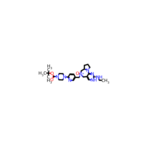 CCN[C@@H]1N=C2C(=CN1)C[N+]([O-])(Cc1ccc(N3CCN(C(=O)OC(C)(C)C)CC3)nc1)CC1CCCN21